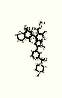 Cc1nc2c(cc(-c3ccnc(C(=O)N4CCN(C)CC4)c3)n2C)c(-c2cc(F)c3c(c2C)CCCO3)c1[C@H](OC(C)(C)C)C(=O)O